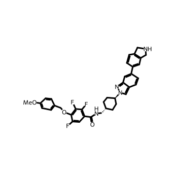 COc1ccc(COc2c(F)cc(C(=O)NC[C@H]3CC[C@H](n4cc5ccc(-c6ccc7c(c6)CNC7)cc5n4)CC3)c(F)c2F)cc1